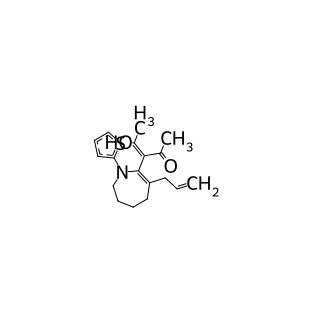 C=CCC1=C(C(C(C)=O)=C(C)O)N(c2cccs2)CCCC1